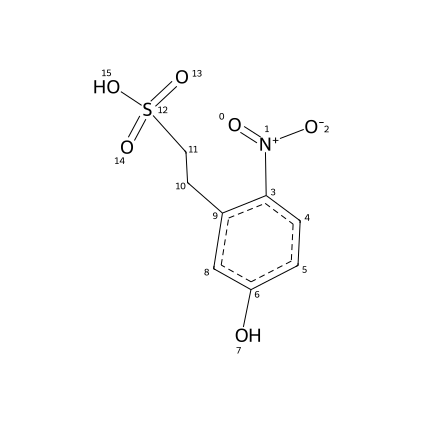 O=[N+]([O-])c1ccc(O)cc1CCS(=O)(=O)O